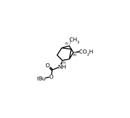 C[C@H]1C2CC([C@@H](NC(=O)OC(C)(C)C)C2)[C@@H]1C(=O)O